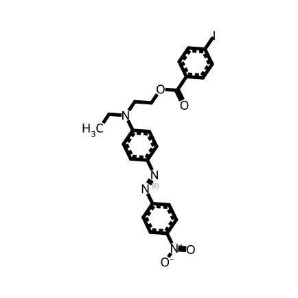 CCN(CCOC(=O)c1ccc(I)cc1)c1ccc(/N=N/c2ccc([N+](=O)[O-])cc2)cc1